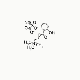 C[N+](C)(C)CCOC(=O)c1ccccc1O.O=S([O-])S(=O)(=O)[O-].[Na+]